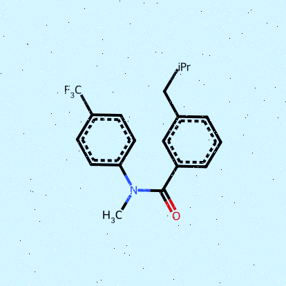 CC(C)Cc1cccc(C(=O)N(C)c2ccc(C(F)(F)F)cc2)c1